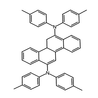 Cc1ccc(N(C2=CC3=c4ccccc4=C(N(c4ccc(C)cc4)c4ccc(C)cc4)CC3c3ccccc32)c2ccc(C)cc2)cc1